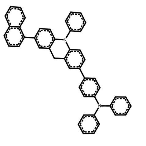 c1ccc(N(c2ccccc2)c2ccc(-c3ccc4c(c3)Cc3cc(-c5cccc6ccccc56)ccc3N4c3ccccc3)cc2)cc1